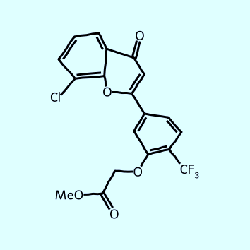 COC(=O)COc1cc(-c2cc(=O)c3cccc(Cl)c3o2)ccc1C(F)(F)F